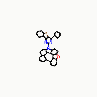 c1ccc(-c2nc(-n3c4ccc5cccc6c5c4c4c5c(ccc43)oc3cccc-6c35)nc3c2sc2ccccc23)cc1